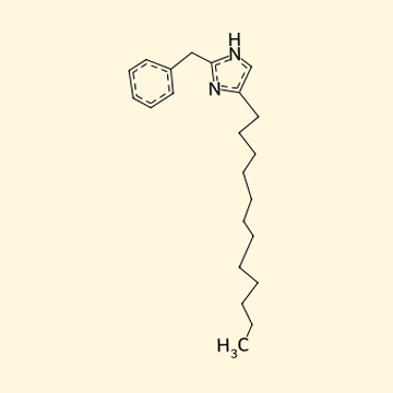 CCCCCCCCCCCCc1c[nH]c(Cc2ccccc2)n1